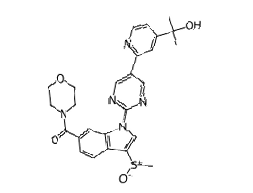 C[S+]([O-])c1cn(-c2ncc(-c3cc(C(C)(C)O)ccn3)cn2)c2cc(C(=O)N3CCOCC3)ccc12